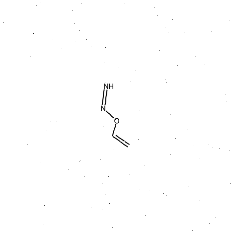 C=CON=N